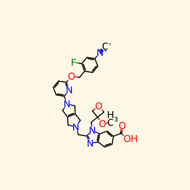 [C-]#[N+]c1ccc(COc2cccc(N3CC4=C(CN(Cc5nc6ccc(C(=O)O)cc6n5CC5(OC)COC5)C4)C3)n2)c(F)c1